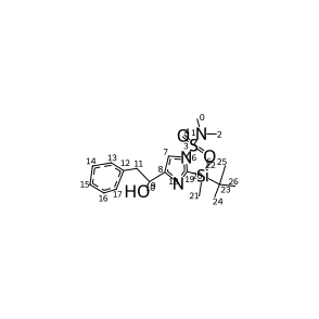 CN(C)S(=O)(=O)n1cc(C(O)Cc2ccccc2)nc1[Si](C)(C)C(C)(C)C